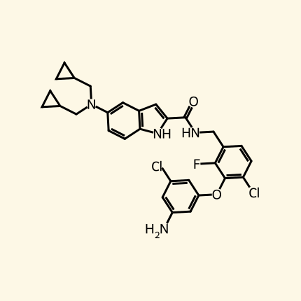 Nc1cc(Cl)cc(Oc2c(Cl)ccc(CNC(=O)c3cc4cc(N(CC5CC5)CC5CC5)ccc4[nH]3)c2F)c1